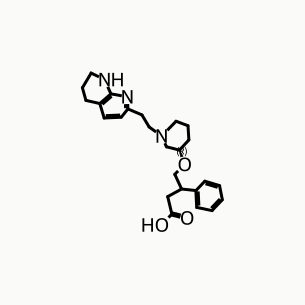 O=C(O)CC(CO[C@@H]1CCCN(CCc2ccc3c(n2)NCCC3)C1)c1ccccc1